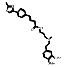 COc1ccc(CCN(C)CCCNC(=O)C/C=C/c2ccc(-c3csc(C)n3)cc2)cc1OC